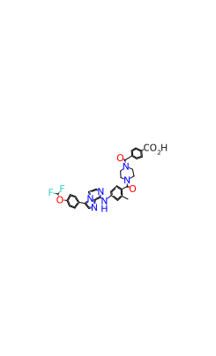 Cc1cc(Nc2nccn3c(-c4ccc(OC(F)F)cc4)cnc23)ccc1C(=O)N1CCN(C(=O)c2ccc(C(=O)O)cc2)CC1